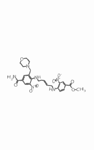 COC(=O)c1ccc(NC/C=C/CNc2c(CN3CCOCC3)cc(C(N)=O)cc2[N+](=O)[O-])c([N+](=O)[O-])c1